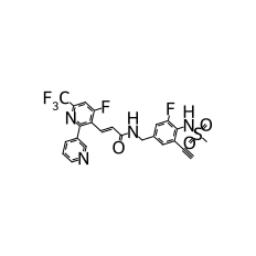 C#Cc1cc(CNC(=O)C=Cc2c(F)cc(C(F)(F)F)nc2-c2cccnc2)cc(F)c1NS(C)(=O)=O